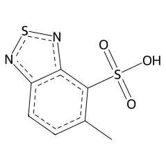 Cc1ccc2nsnc2c1S(=O)(=O)O